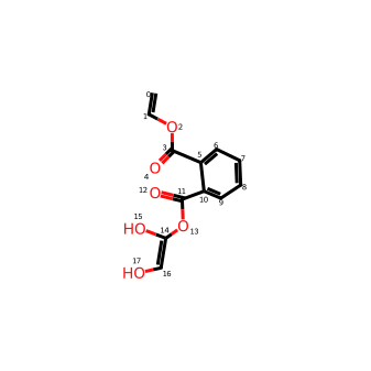 C=COC(=O)c1ccccc1C(=O)OC(O)=CO